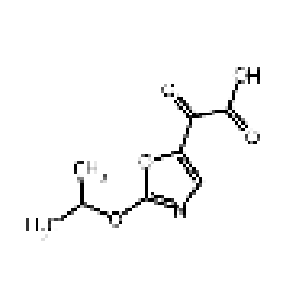 CC(C)Oc1ncc(C(=O)C(=O)O)o1